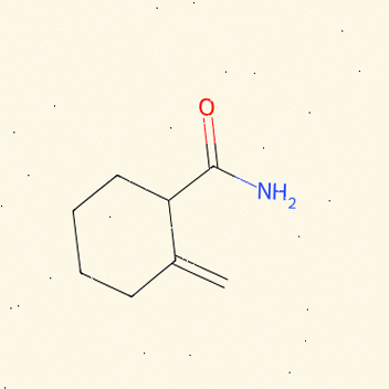 C=C1CCCCC1C(N)=O